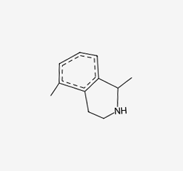 Cc1cccc2c1CCNC2C